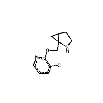 Clc1cccnc1OCC12CC1CCN2